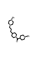 CC(C)N1CCC(C(=O)N2CCC(CCCN3CCN(C(C)C)CC3)CC2)CC1